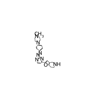 CN1CCN(c2ccc(N=Nc3nccc(-c4cc5c(o4)CCNC5)n3)cc2)CC1